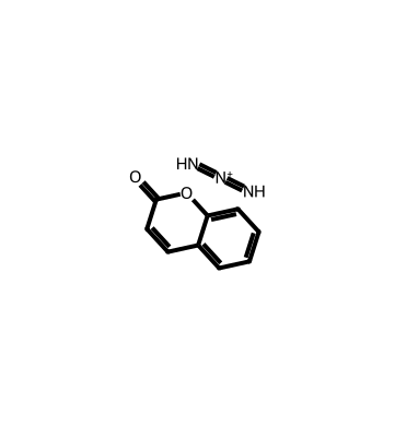 N=[N+]=N.O=c1ccc2ccccc2o1